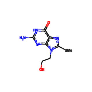 CSc1nc2c(=O)[nH]c(N)nc2n1CCO